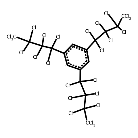 ClC(Cl)(Cl)C(Cl)(Cl)C(Cl)(Cl)C(Cl)(Cl)c1[c]c(C(Cl)(Cl)C(Cl)(Cl)C(Cl)(Cl)C(Cl)(Cl)Cl)cc(C(Cl)(Cl)C(Cl)(Cl)C(Cl)(Cl)C(Cl)(Cl)Cl)c1